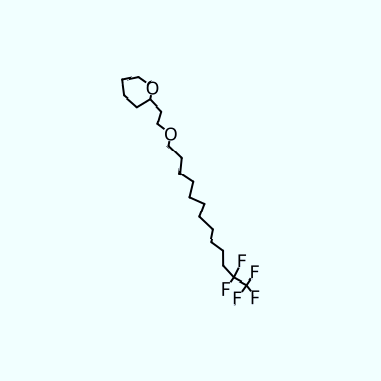 FC(F)(F)C(F)(F)CCCCCCCCCCCOCCC1CCCCO1